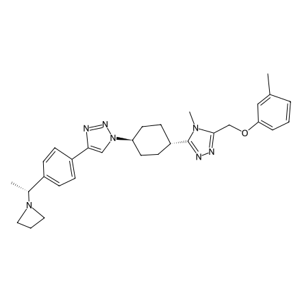 Cc1cccc(OCc2nnc([C@H]3CC[C@H](n4cc(-c5ccc([C@@H](C)N6CCC6)cc5)nn4)CC3)n2C)c1